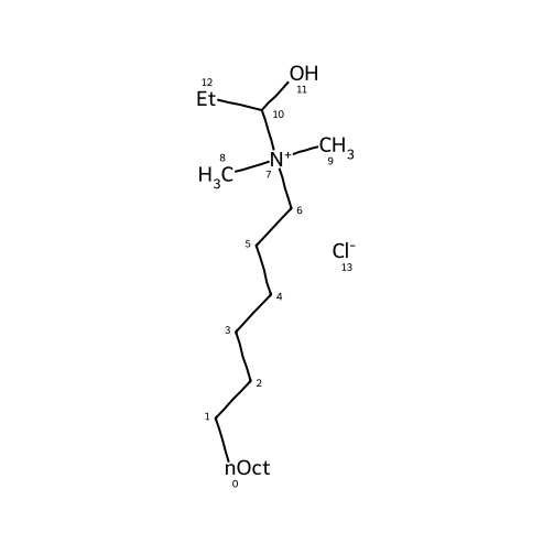 CCCCCCCCCCCCCC[N+](C)(C)C(O)CC.[Cl-]